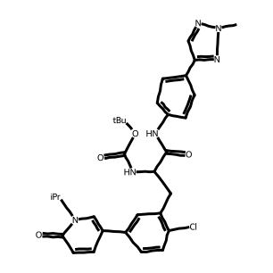 CC(C)n1cc(-c2ccc(Cl)c(CC(NC(=O)OC(C)(C)C)C(=O)Nc3ccc(-c4cnn(C)n4)cc3)c2)ccc1=O